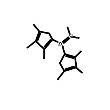 CC1=C(C)C(C)=[C]([Zr]([C]2=C(C)C(C)=C(C)C2)=[Si](C)C)C1